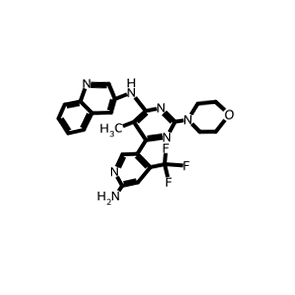 Cc1c(Nc2cnc3ccccc3c2)nc(N2CCOCC2)nc1-c1cnc(N)cc1C(F)(F)F